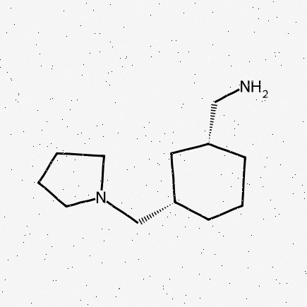 NC[C@@H]1CCC[C@H](CN2CCCC2)C1